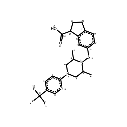 CC1CN(c2ccc(C(F)(F)F)cn2)CC(C)N1Sc1ccc2c(c1)C(C(=O)O)CC2